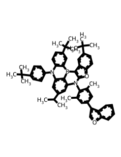 Cc1cc(-c2coc3ccccc23)cc(C)c1N1c2cc(C(C)C)cc3c2B(c2cc(C(C)(C)C)ccc2N3c2ccc(C(C)(C)C)cc2)c2c1oc1ccc(C(C)(C)C)cc21